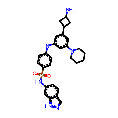 NC1CC(c2cc(Nc3ccc(S(=O)(=O)Nc4ccc5cn[nH]c5c4)cc3)cc(N3CCCCC3)c2)C1